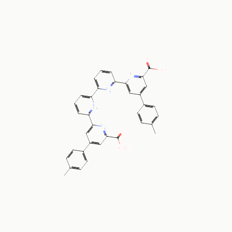 Cc1ccc(-c2cc(C(=O)O)nc(-c3cccc(-c4cccc(-c5cc(-c6ccc(C)cc6)cc(C(=O)O)n5)n4)n3)c2)cc1